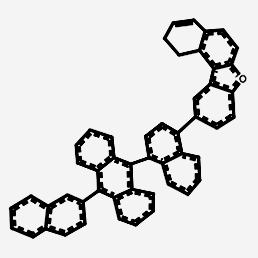 C1=Cc2ccc3oc4ccc(-c5ccc(-c6c7ccccc7c(-c7ccc8ccccc8c7)c7ccccc67)c6ccccc56)cc4c3c2CC1